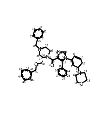 O=C(c1ncn(C2=CC(N3CCOCC3)CC=C2)c1-c1ccccc1)N1CCN(Cc2ccccc2)C[C@H]1COCc1ccccc1